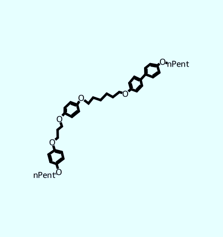 [CH2+][CH-]CCCOc1ccc(OCCCOc2ccc(OCCCCCCOc3ccc(-c4ccc(OCCCCC)cc4)cc3)cc2)cc1